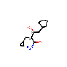 NC(=O)[C@@H](CC1CC1)[C@@H](O)CC1CCCC1